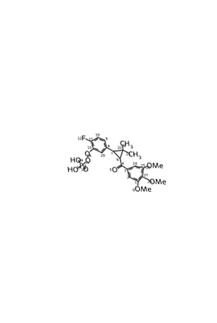 COc1cc(C(=O)C2C(c3ccc(F)c(OOP(=O)(O)O)c3)C2(C)C)cc(OC)c1OC